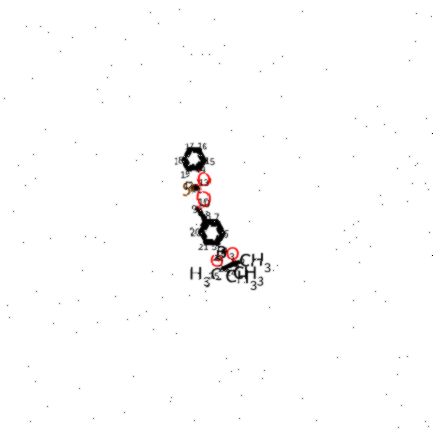 CC1(C)OB(c2ccc(COC(=S)Oc3ccccc3)cc2)OC1(C)C